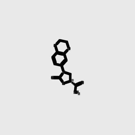 NC(=O)[C@H]1CN(c2ccc3c(c2)OCCO3)C(=O)O1